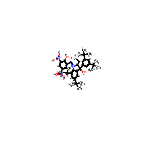 CCC(N=Cc1cc([N+](=O)[O-])cc([N+](=O)[O-])c1O)C(O)(c1cc(C(C)(C)C)cc(C(C)(C)C)c1)c1cc(C(C)(C)C)cc(C(C)(C)C)c1